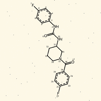 O=C(Nc1ccc(F)cc1)NC1CCCN(C(=O)c2ccc(F)cc2)C1